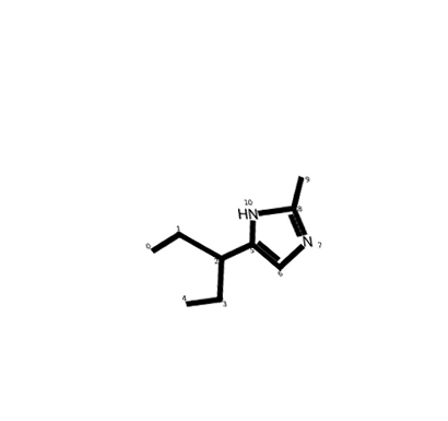 CCC(CC)c1cnc(C)[nH]1